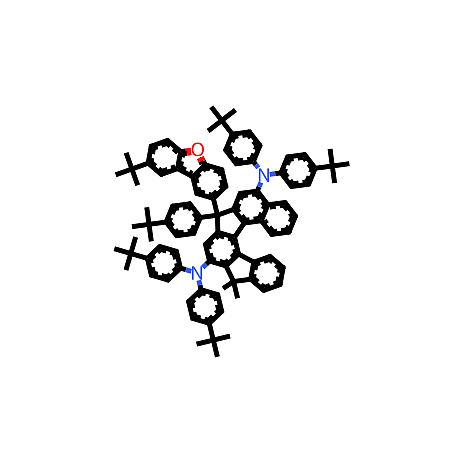 CC(C)(C)c1ccc(N(c2ccc(C(C)(C)C)cc2)c2cc3c(c4c2C(C)(C)c2ccccc2-4)-c2c(cc(N(c4ccc(C(C)(C)C)cc4)c4ccc(C(C)(C)C)cc4)c4ccccc24)C3(c2ccc(C(C)(C)C)cc2)c2ccc3oc4ccc(C(C)(C)C)cc4c3c2)cc1